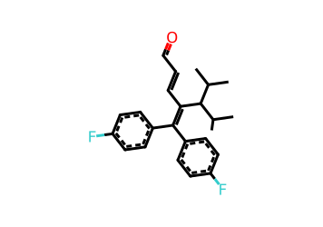 CC(C)C(C(C=CC=O)=C(c1ccc(F)cc1)c1ccc(F)cc1)C(C)C